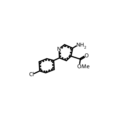 COC(=O)c1cc(-c2ccc(Cl)cc2)ncc1N